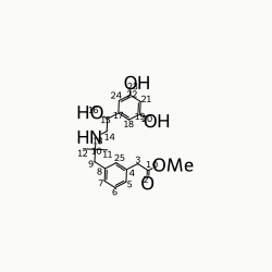 COC(=O)Cc1cccc(CC(C)(C)NCC(O)c2cc(O)cc(O)c2)c1